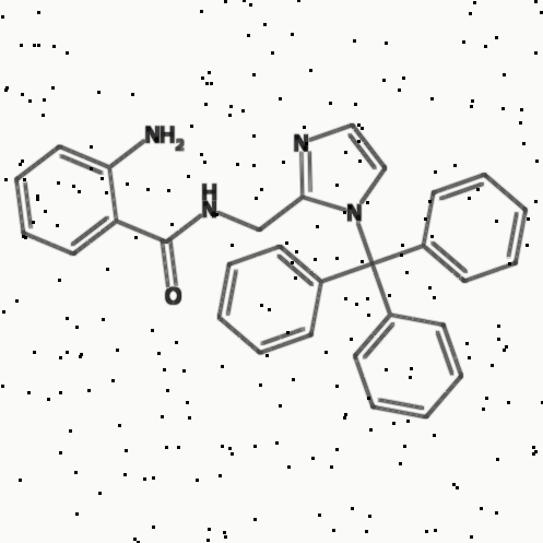 Nc1ccccc1C(=O)NCc1nccn1C(c1ccccc1)(c1ccccc1)c1ccccc1